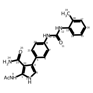 CC(=O)Nc1[nH]cc(-c2ccc(NC(=O)Nc3ccccc3C)cc2)c1C(N)=O